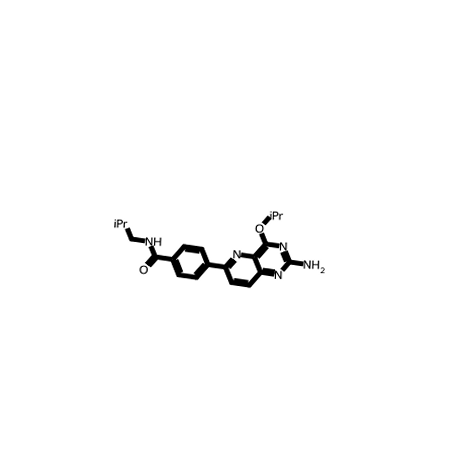 CC(C)CNC(=O)c1ccc(-c2ccc3nc(N)nc(OC(C)C)c3n2)cc1